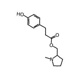 CN1CCCC1COC(=O)CCc1ccc(O)cc1